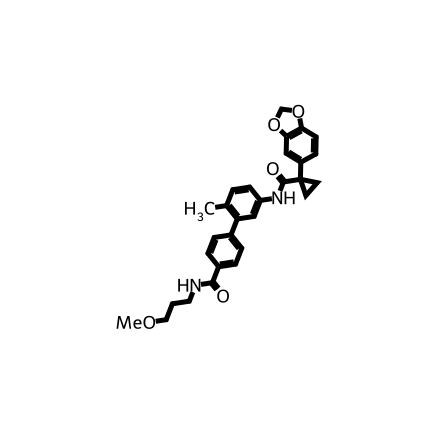 COCCCNC(=O)c1ccc(-c2cc(NC(=O)C3(c4ccc5c(c4)OCO5)CC3)ccc2C)cc1